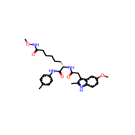 CONC(=O)CCCCC[C@H](NC(=O)Cc1c(C)[nH]c2ccc(OC)cc12)C(=O)Nc1ccc(C)cc1